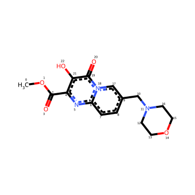 COC(=O)c1nc2ccc(CN3CCOCC3)cn2c(=O)c1O